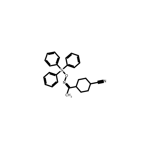 CC(=NO[Si](c1ccccc1)(c1ccccc1)c1ccccc1)C1CCC(C#N)CC1